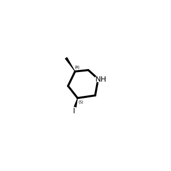 C[C@H]1CNC[C@@H](I)C1